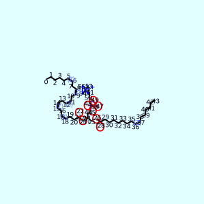 CCCCC/C=C\C/C=C\C/C=C\C/C=C\C/C=C\CCC(=O)O[C@H](COC(=O)CCCCCCC/C=C\CCCCCC)COP(=O)([O-])OCC[N+](C)(C)C